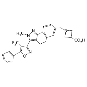 Cn1nc2c(c1-c1noc(-c3ccccc3)c1C(F)(F)F)CCc1cc(CN3CC(C(=O)O)C3)ccc1-2